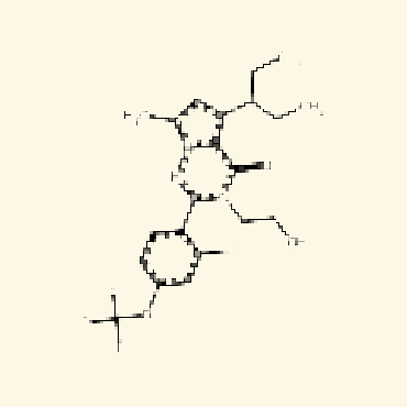 CCC(CC)c1cc(C)n2nc(-c3ccc(OC(F)(F)F)cc3Cl)n(CCO)c(=O)c12